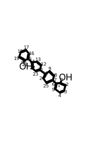 Oc1ccccc1-c1ccc(-c2ccc(-c3ccccc3O)cc2)cc1